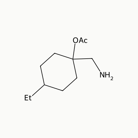 CCC1CCC(CN)(OC(C)=O)CC1